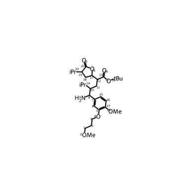 COCCCOc1cc(C(N)C(CC(C(=O)OC(C)(C)C)C2CC(C(C)C)C(=O)O2)C(C)C)ccc1OC